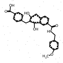 COc1ccc(CNC(=O)c2ccc3cc(O)c(Cc4ccc(C(=O)O)cc4)c(O)c3c2)cc1